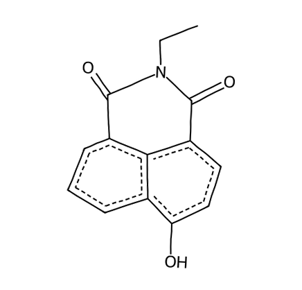 CCN1C(=O)c2cccc3c(O)ccc(c23)C1=O